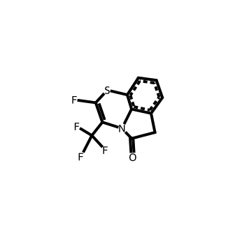 O=C1Cc2cccc3c2N1C(C(F)(F)F)=C(F)S3